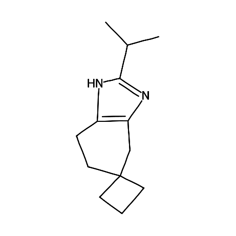 CC(C)c1nc2c([nH]1)CCC1(CCC1)C2